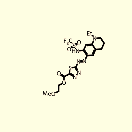 CCN1CCCc2cc(N=Nc3nnc(C(=O)OCCOC)s3)c(NS(=O)(=O)C(F)(F)F)cc21